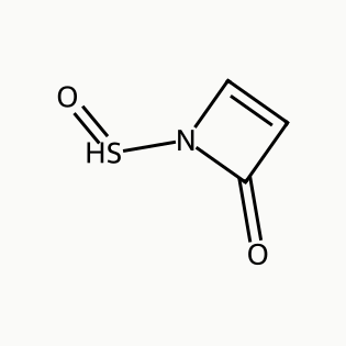 O=[SH]N1C=CC1=O